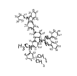 CC(C)c1cccc(N(C)c2ccc3c(c2)c2cc(-c4ccc5c(c4)c4ccccc4n5-c4ccccc4)ccc2n3-c2nc(-c3ccccc3)c3ccccc3n2)c1